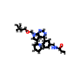 C=CC(=O)NCc1cccc(-c2ncnc3c2c(-c2ccccn2)cn3COCC[Si](C)(C)C)c1